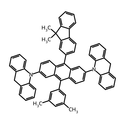 Cc1cc(C)cc(-c2c3ccc(N4c5ccccc5Cc5ccccc54)cc3c(-c3ccc4c(c3)C(C)(C)c3ccccc3-4)c3ccc(N4c5ccccc5Cc5ccccc54)cc23)c1